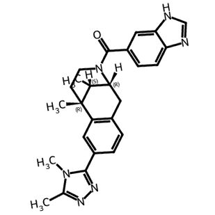 Cc1nnc(-c2ccc3c(c2)[C@]2(C)CCN(C(=O)c4ccc5nc[nH]c5c4)[C@H](C3)[C@H]2C)n1C